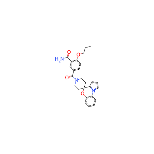 CCCOc1ccc(C(=O)N2CCC3(CC2)Oc2ccccc2-n2cccc23)cc1C(N)=O